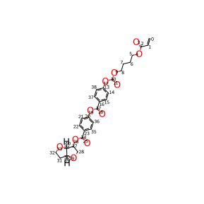 C=CC(=O)OCCCCOC(=O)Oc1ccc(C(=O)Oc2ccc(C(=O)OC3CO[C@@H]4CCO[C@H]34)cc2)cc1